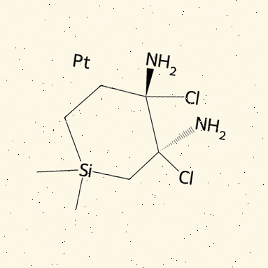 C[Si]1(C)CC[C@](N)(Cl)[C@@](N)(Cl)C1.[Pt]